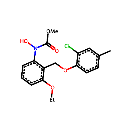 CCOc1cccc(N(O)C(=O)OC)c1COc1ccc(C)cc1Cl